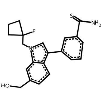 NC(=S)c1cccc(-c2cn(CC3(F)CCC3)c3cc(CO)ccc23)c1